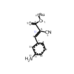 CC(C)(C)OC(=O)/C(C#N)=C/c1cccc(N)c1